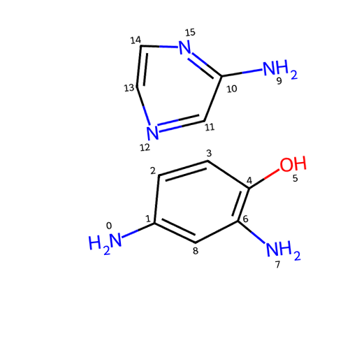 Nc1ccc(O)c(N)c1.Nc1cnccn1